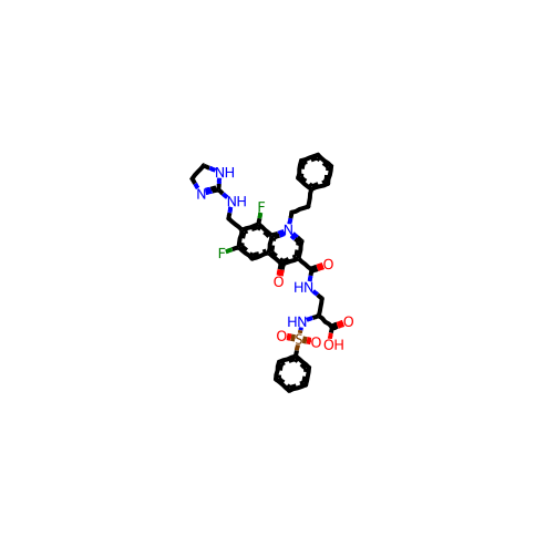 O=C(NCC(NS(=O)(=O)c1ccccc1)C(=O)O)c1cn(CCc2ccccc2)c2c(F)c(CNC3=NCCN3)c(F)cc2c1=O